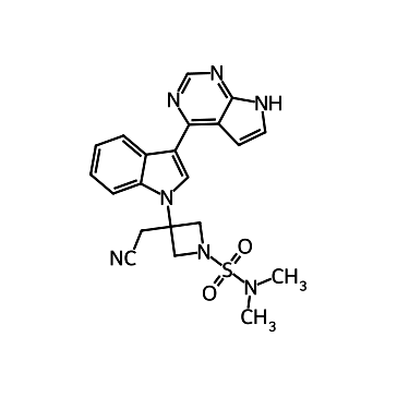 CN(C)S(=O)(=O)N1CC(CC#N)(n2cc(-c3ncnc4[nH]ccc34)c3ccccc32)C1